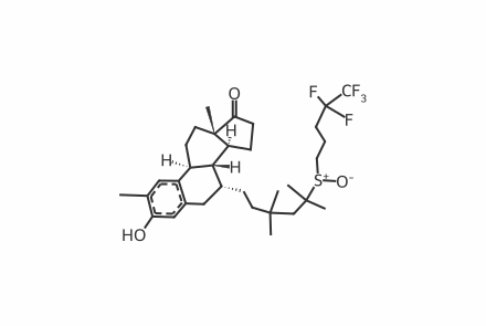 Cc1cc2c(cc1O)C[C@@H](CCC(C)(C)CC(C)(C)[S+]([O-])CCCC(F)(F)C(F)(F)F)[C@@H]1[C@@H]2CC[C@]2(C)C(=O)CC[C@@H]12